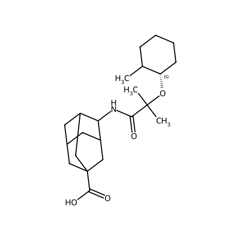 CC1CCCC[C@@H]1OC(C)(C)C(=O)NC1C2CC3CC1CC(C(=O)O)(C3)C2